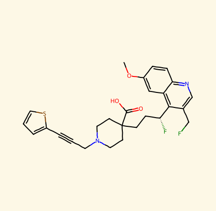 COc1ccc2ncc(CF)c([C@H](F)CCC3(C(=O)O)CCN(CC#Cc4cccs4)CC3)c2c1